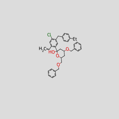 C=Cc1cc(Cl)c(Cc2ccc(CC)cc2)cc1C1(O)CC(OCc2ccccc2)CC(COCc2ccccc2)O1